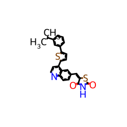 CC(C)c1cccc(-c2ccc(-c3ccnc4ccc(C=C5SC(=O)NC5=O)cc34)s2)c1